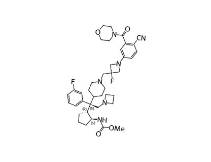 COC(=O)N[C@H]1CCC[C@@H]1[C@](CN1CCC1)(c1cccc(F)c1)C1CCN(CC2(F)CN(c3ccc(C#N)c(C(=O)N4CCOCC4)c3)C2)CC1